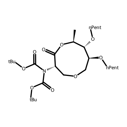 CCCCCO[C@H]1[C@H](C)OC(=O)[C@@H](N(C(=O)OC(C)(C)C)C(=O)OC(C)(C)C)COC[C@@H]1OCCCCC